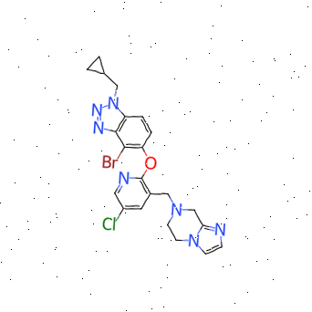 Clc1cnc(Oc2ccc3c(nnn3CC3CC3)c2Br)c(CN2CCn3ccnc3C2)c1